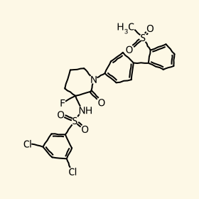 CS(=O)(=O)c1ccccc1-c1ccc(N2CCCC(F)(NS(=O)(=O)c3cc(Cl)cc(Cl)c3)C2=O)cc1